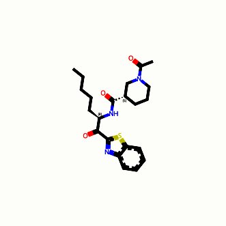 CCCCC[C@@H](NC(=O)[C@H]1CCCN(C(C)=O)C1)C(=O)c1nc2ccccc2s1